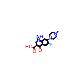 CN1CCN(c2cc3c(cc2F)c(=O)c(C(=O)O)cn3N)CC1